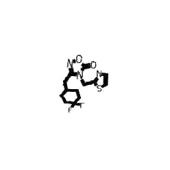 O=c1onc(CC2CCC(F)(F)CC2)n1Cc1nccs1